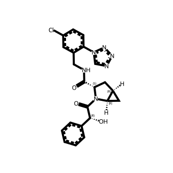 O=C(NCc1cc(Cl)ccc1-n1cnnn1)[C@@H]1C[C@H]2C[C@H]2N1C(=O)[C@H](O)c1ccccc1